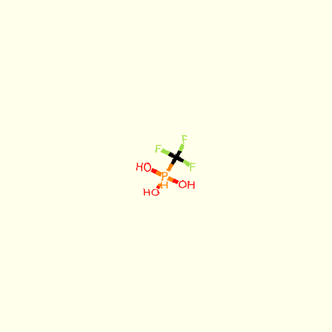 O[PH](O)(O)C(F)(F)F